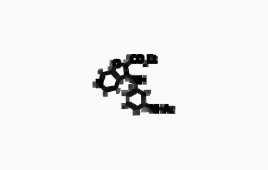 CCOC(=O)c1oc2cnccc2c1Nc1cccc(NC(C)=O)c1